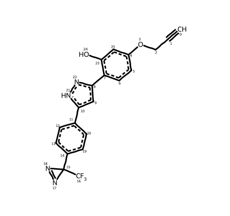 C#CCOc1ccc(-c2cc(-c3ccc(C4(C(F)(F)F)N=N4)cc3)[nH]n2)c(O)c1